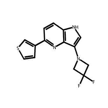 FC1(F)CN(c2c[nH]c3ccc(-c4ccsc4)nc23)C1